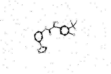 NC(C(=O)Nc1cccc(-n2cnnn2)c1)c1ccc(Cl)c(C(F)(F)F)c1